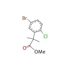 COC(=O)C(C)(C)c1cc(Br)ccc1Cl